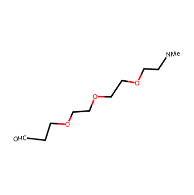 CNCCOCCOCCOCCC=O